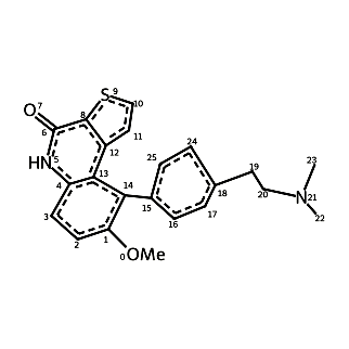 COc1ccc2[nH]c(=O)c3sccc3c2c1-c1ccc(CCN(C)C)cc1